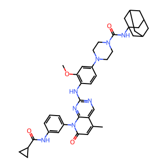 COc1cc(N2CCN(C(=O)NC34CC5CC(CC(C5)C3)C4)CC2)ccc1Nc1ncc2c(C)cc(=O)n(-c3cccc(NC(=O)C4CC4)c3)c2n1